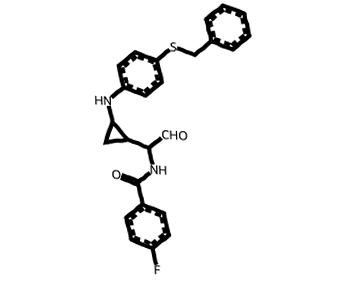 O=CC(NC(=O)c1ccc(F)cc1)C1CC1Nc1ccc(SCc2ccccc2)cc1